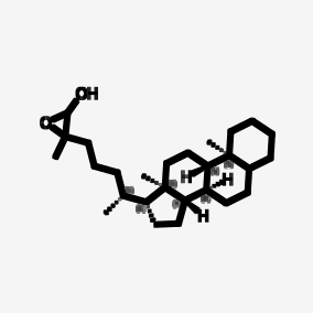 C[C@H](CCCC1(C)OC1O)[C@H]1CC[C@H]2[C@@H]3CCC4CCCC[C@]4(C)[C@H]3CC[C@]12C